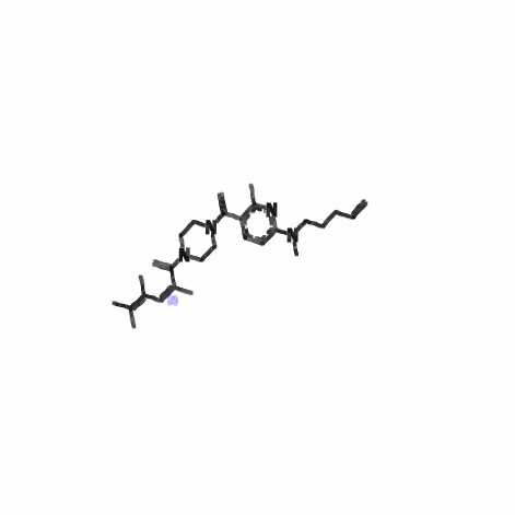 C=CCCCN(C)c1ccc(C(=C)N2CCN(C(=C)/C(C)=C\C(C)=C(C)C)CC2)c(C)n1